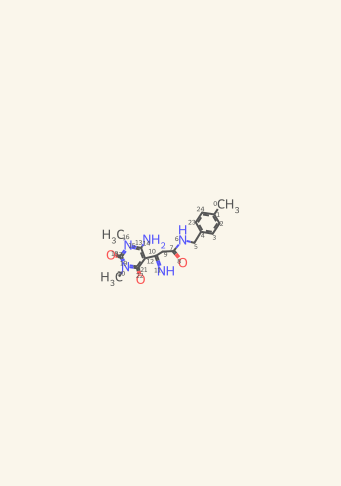 Cc1ccc(CNC(=O)CC(=N)c2c(N)n(C)c(=O)n(C)c2=O)cc1